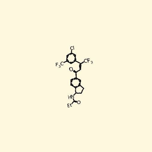 CCC(=O)NC1CCc2cc(C(=O)C=C(c3cc(Cl)cc(C(F)(F)F)c3)C(F)(F)F)ccc21